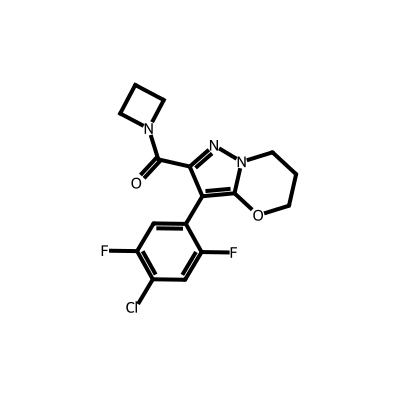 O=C(c1nn2c(c1-c1cc(F)c(Cl)cc1F)OCCC2)N1CCC1